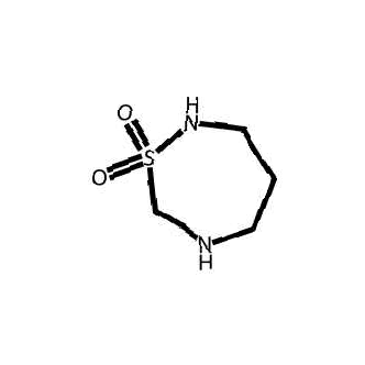 O=S1(=O)CNCCCN1